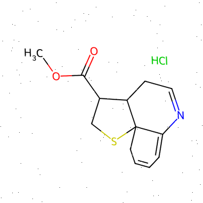 COC(=O)C1CSC23CC=CC=C2N=CCC13.Cl